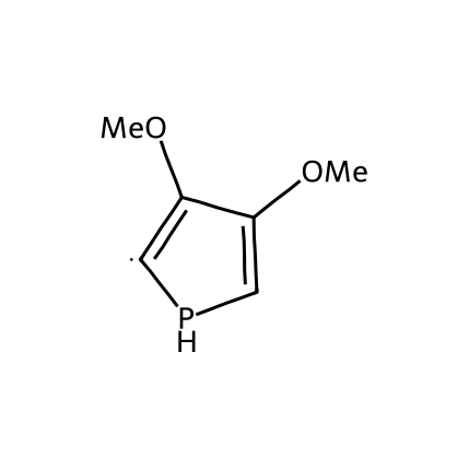 COc1[c][pH]cc1OC